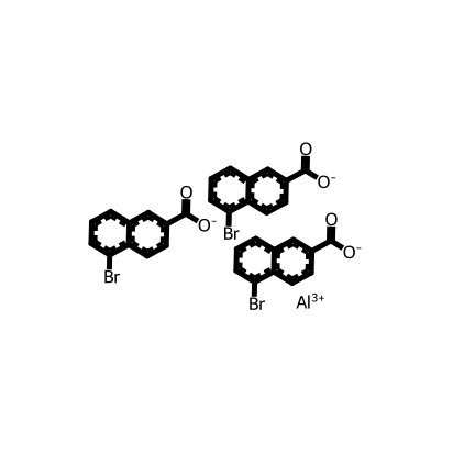 O=C([O-])c1ccc2c(Br)cccc2c1.O=C([O-])c1ccc2c(Br)cccc2c1.O=C([O-])c1ccc2c(Br)cccc2c1.[Al+3]